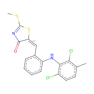 CSC1=NC(=O)/C(=C\c2ccccc2Nc2c(Cl)ccc(C)c2Cl)S1